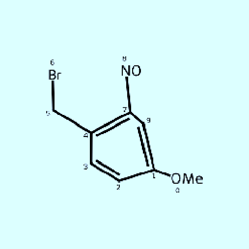 COc1ccc(CBr)c(N=O)c1